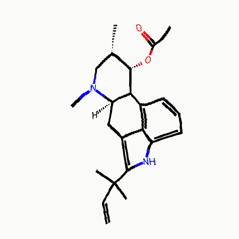 C=CC(C)(C)c1[nH]c2cccc3c2c1C[C@@H]1C3[C@@H](OC(C)=O)[C@@H](C)CN1C